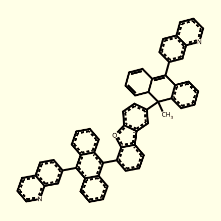 CC1(c2ccc3oc4c(-c5c6ccccc6c(-c6ccc7cccnc7c6)c6ccccc56)cccc4c3c2)c2ccccc2C(c2ccc3cccnc3c2)=C2C=CC=CC21